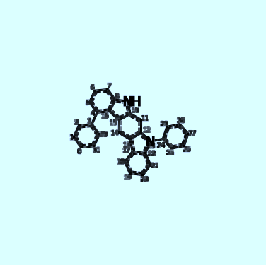 c1ccc(-c2cccc3[nH]c4cc5c(cc4c23)c2ccccc2n5-c2ccccc2)cc1